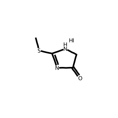 CSC1=NC(=O)CN1.I